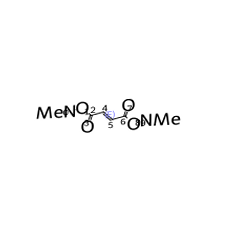 CNOC(=O)/C=C/C(=O)ONC